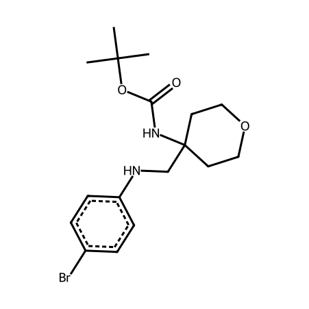 CC(C)(C)OC(=O)NC1(CNc2ccc(Br)cc2)CCOCC1